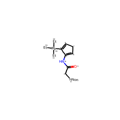 CCCCCCCCCCC(=O)NC1=CC[C]=[C]1[Pb]([CH2]C)([CH2]C)[CH2]C